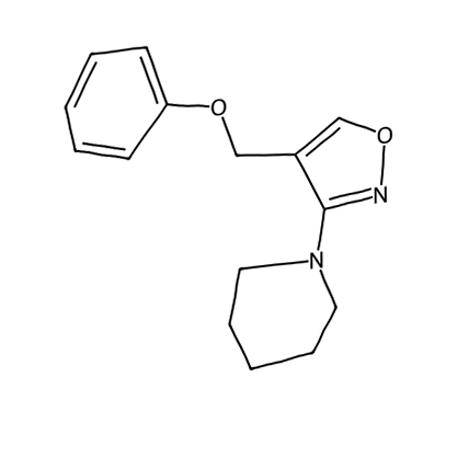 c1ccc(OCc2conc2N2CCCCC2)cc1